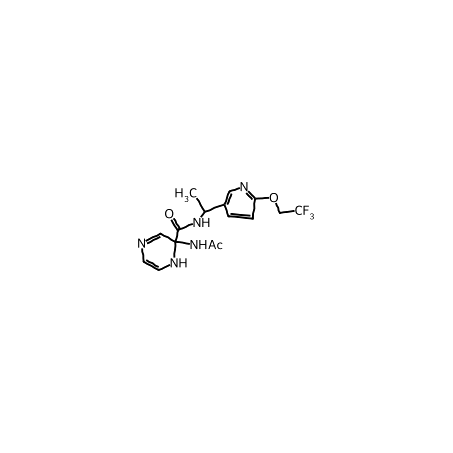 CC(=O)NC1(C(=O)NC(C)c2ccc(OCC(F)(F)F)nc2)C=NC=CN1